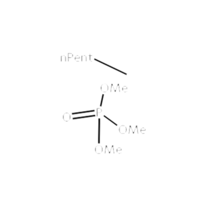 CCCCCC.COP(=O)(OC)OC